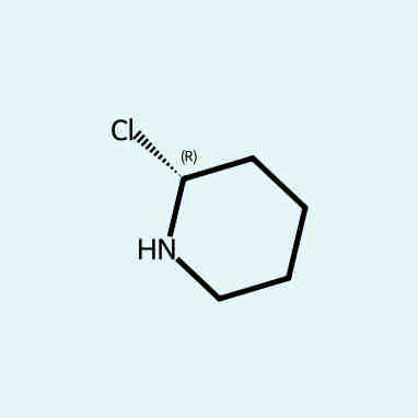 Cl[C@@H]1CCCCN1